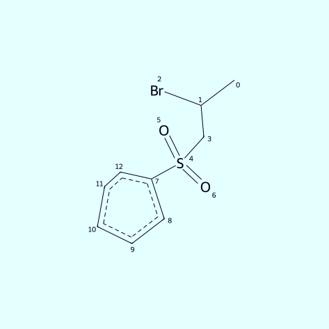 CC(Br)CS(=O)(=O)c1ccccc1